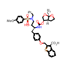 COc1ccc(S(=O)(=O)N(CC(C)C)C[C@@H](O)[C@H](Cc2ccc(OCc3sc4ccccc4c3C(=O)O)cc2)NC(=O)O[C@H]2CO[C@@]3(C)OCC[C@@H]23)cc1